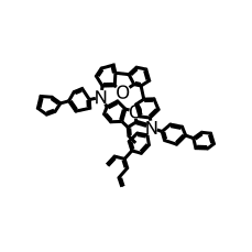 C=C/C=C(\C=C)c1ccc(N(c2ccc(-c3ccccc3)cc2)c2ccc(-c3cccc4c3oc3c(N(c5ccc(-c6ccccc6)cc5)c5ccc6/c(=C/C)c(=C)oc6c5)cccc34)cc2)cc1